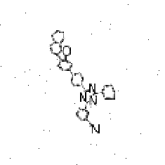 N#Cc1cccc(-c2nc(-c3ccccc3)nc(-c3ccc(-c4ccc5c(c4)oc4c6ccccc6ccc54)cc3)n2)c1